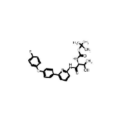 CC(O)[C@H](NC(=O)OC(C)(C)C)C(=O)Nc1cccc(-c2ccc(Oc3ccc(F)cc3)cc2)n1